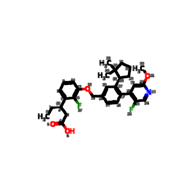 CC[C@H](CC(=O)O)c1cccc(OCc2ccc(-c3cc(OC)ncc3F)c([C@@H]3CCCC3(C)C)c2)c1F